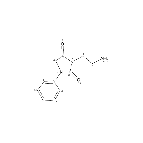 NCCN1C(=O)CN(c2ccccc2)C1=O